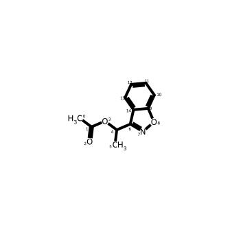 CC(=O)OC(C)c1noc2ccccc12